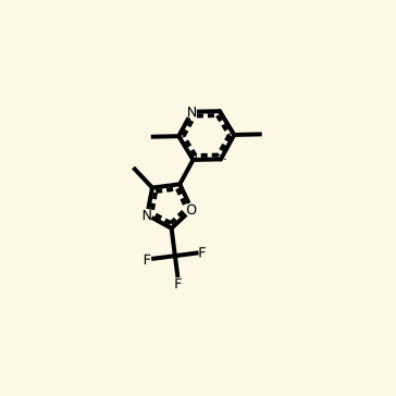 Cc1[c]c(-c2oc(C(F)(F)F)nc2C)c(C)nc1